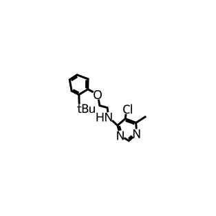 Cc1ncnc(NCCOc2ccccc2C(C)(C)C)c1Cl